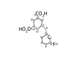 O=C(O)c1cc(Cc2cccc(F)c2)cc(C(=O)O)c1